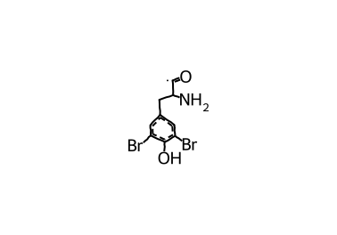 NC([C]=O)Cc1cc(Br)c(O)c(Br)c1